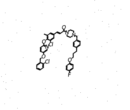 Cc1cc(/C=C/C(=O)N2CCN(Cc3ccc(CCCOc4ccc(F)cc4)cc3)CC2)cc(Cl)c1Oc1ccc(OCc2ccccc2Cl)cn1